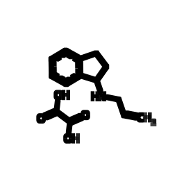 C=CCNC1CCc2ccccc21.O=C(O)C(=O)O